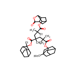 CCC(C)(CC(C)(CC(C)(C)C(=O)OC12CC3CC(CC(OC)(C3)C1)C2)C(=O)OC1(CC)C2CC3CC(C2)CC1C3)C(=O)OC1C2CC3C(=O)OC1C3C2